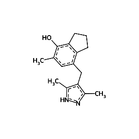 Cc1cc(Cc2c(C)n[nH]c2C)c2c(c1O)CCC2